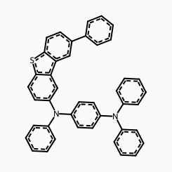 c1ccc(-c2ccc3sc4ccc(N(c5ccccc5)c5ccc(N(c6ccccc6)c6ccccc6)cc5)cc4c3c2)cc1